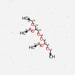 C#CCOCC(COCOCC(COCC#C)OCC#C)OCC#C